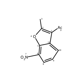 CC(=O)c1c(C)oc2c([N+](=O)[O-])cccc12